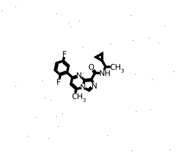 Cc1cc(-c2cc(F)ccc2F)nc2c(C(=O)NC(C)C3CC3)ncn12